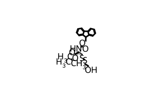 CC(C)(C)OC(=O)[C@H](CSSCCO)NC(=O)OCC1c2ccccc2-c2ccccc21